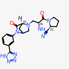 N#C[C@@H]1CCCN1C(=O)[C@@H](N)CN1CC2C[C@H]1C(=O)N2c1cccc(-c2nnn[nH]2)c1